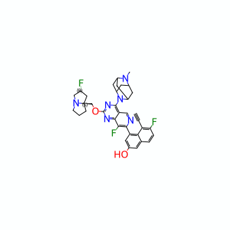 C#Cc1c(F)ccc2cc(O)cc(-c3ncc4c(N5C6CC7CC5CC(C6)N7C)nc(OC[C@@]56CCCN5C[C@H](F)C6)nc4c3F)c12